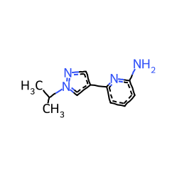 CC(C)n1cc(-c2cccc(N)n2)cn1